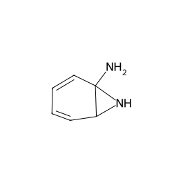 NC12C=CC=CC1N2